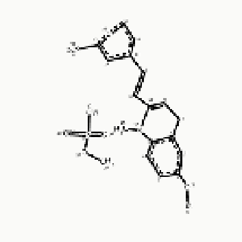 CCOc1ccc2c(c1)CC=C(C=Cc1cccc([N+](=O)[O-])c1)N2C.COS(=O)(=O)O